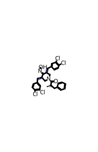 C[C@H](Cc1ccccc1)C(=O)N1C/C(=C\c2ccc(Cl)c(Cl)c2)C(=NO)/C(=C/c2ccc(Cl)c(Cl)c2)C1